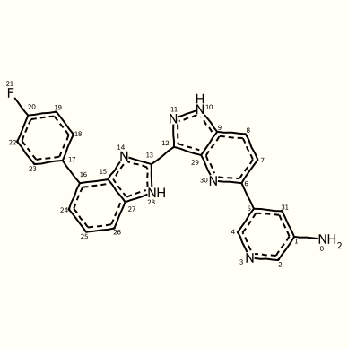 Nc1cncc(-c2ccc3[nH]nc(-c4nc5c(-c6ccc(F)cc6)cccc5[nH]4)c3n2)c1